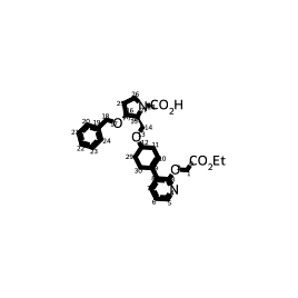 CCOC(=O)COc1ncccc1C1=CCC(OC[C@H]2[C@H](OCc3ccccc3)CCN2C(=O)O)CC1